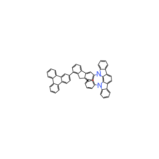 c1ccc(-n2c3ccccc3c3ccc4c5ccccc5n(-c5ccc6c(c5)-c5cccc(-c7ccc8c9ccccc9c9ccccc9c8c7)c5C6)c4c32)cc1